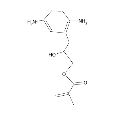 C=C(C)C(=O)OCC(O)Cc1cc(N)ccc1N